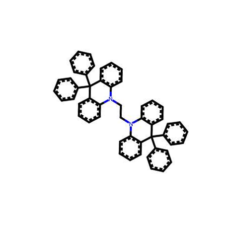 c1ccc(C2(c3ccccc3)c3ccccc3N(CCN3c4ccccc4C(c4ccccc4)(c4ccccc4)c4ccccc43)c3ccccc32)cc1